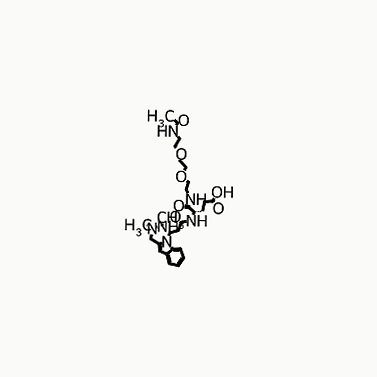 CNN(C)Cc1cc2ccccc2n1CCC(=O)N[C@@H](CCC(=O)O)C(=O)NCCOCCOCCNC(C)=O